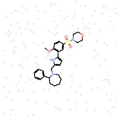 COc1ccc(S(=O)(=O)N2CCOCC2)cc1-c1ccc(CN2CCCCCC2c2ccccc2)[nH]1